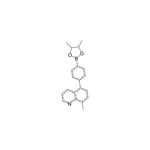 Cc1ccc(-c2ccc(B3OC(C)C(C)O3)cc2)c2cccnc12